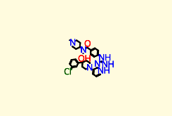 CN1CCC(N(C)C(=O)c2ccc(NC(=N)/N=c3\[nH]cccc3N3CCC(O)(c4cccc(Cl)c4)CC3)cc2)CC1